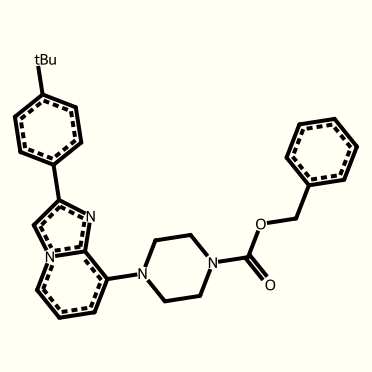 CC(C)(C)c1ccc(-c2cn3cccc(N4CCN(C(=O)OCc5ccccc5)CC4)c3n2)cc1